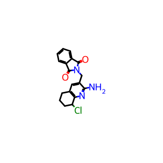 Nc1nc2c(cc1CN1C(=O)c3ccccc3C1=O)CCCC2Cl